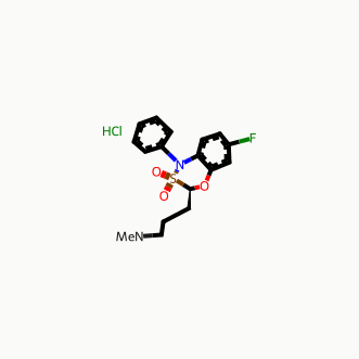 CNCCC[C@@H]1Oc2cc(F)ccc2N(c2ccccc2)S1(=O)=O.Cl